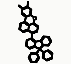 Cc1cc2c(cc1C)-c1cccc3c(-c4cccc5c4-c4ccccc4C5(c4ccccc4)c4ccccc4)ccc(c13)O2